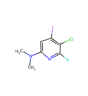 CN(C)c1cc(I)c(Cl)c(F)n1